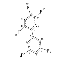 Fc1[c]c(F)cc(-c2nc(F)c(F)cc2F)c1